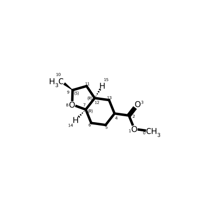 COC(=O)C1CC[C@H]2O[C@@H](C)C[C@H]2C1